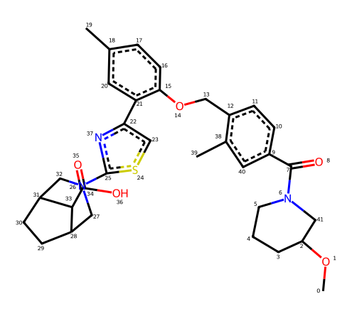 COC1CCCN(C(=O)c2ccc(COc3ccc(C)cc3-c3csc(N4CC5CCC(C4)C5C(=O)O)n3)c(C)c2)C1